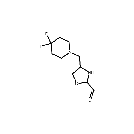 O=CC1NC(CN2CCC(F)(F)CC2)CO1